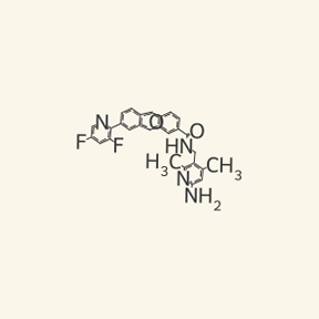 Cc1cc(N)nc(C)c1CNC(=O)c1ccc2c(c1)c1oc2c2ccc(-c3ncc(F)cc3F)cc21